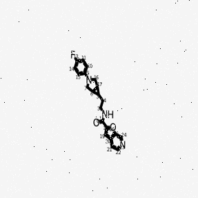 O=C(NCCC1C2CN(c3ccc(F)cc3)CC12)c1cc2ccncc2o1